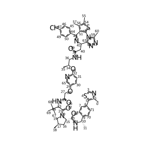 Cc1ncsc1-c1ccc([C@H](C)NC(=O)[C@@H]2C[C@@H](C)CN2C(=O)[C@@H](NC(=O)COc2ccc(O[C@@H](C)CNC(=O)CC3N=C(c4ccc(Cl)cc4)c4c(sc(C)c4C)-n4c(C)nnc43)nc2)C(C)(C)C)cc1